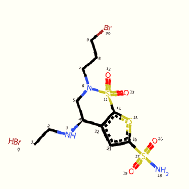 Br.CCN[C@H]1CN(CCCBr)S(=O)(=O)c2sc(S(N)(=O)=O)cc21